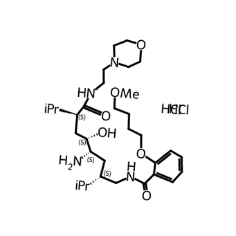 COCCCCOc1ccccc1C(=O)NC[C@@H](C[C@H](N)[C@@H](O)C[C@H](C(=O)NCCN1CCOCC1)C(C)C)C(C)C.Cl.Cl